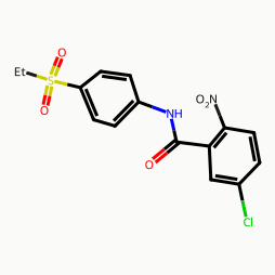 CCS(=O)(=O)c1ccc(NC(=O)c2cc(Cl)ccc2[N+](=O)[O-])cc1